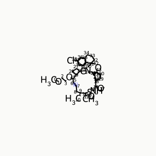 COCCOC1/C=C/CC(C)C(C)[S+]([O-])NC(=O)c2ccc3c(c2)N(CC2CCC21)CC1(CCCc2cc(Cl)ccc21)CO3